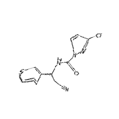 N#CC(NC(=O)n1ccc(Cl)n1)c1ccsc1